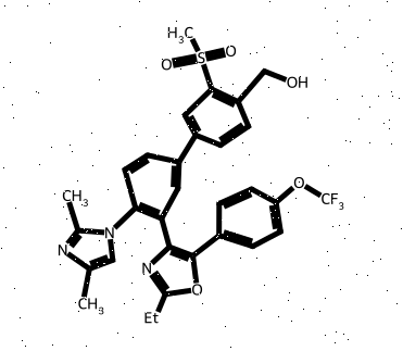 CCc1nc(-c2cc(-c3ccc(CO)c(S(C)(=O)=O)c3)ccc2-n2cc(C)nc2C)c(-c2ccc(OC(F)(F)F)cc2)o1